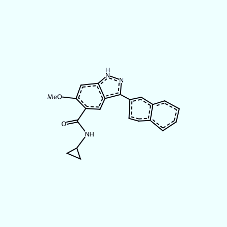 COc1cc2[nH]nc(-c3ccc4ccccc4c3)c2cc1C(=O)NC1CC1